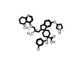 C[C@@H](COc1ccnc2c1[C@H](C)CCC2)CC1Cc2ccc(O[C@H]3CCNC3)cc2C12CCC(Nc1cccc(Cl)c1)(C(=O)O)CC2